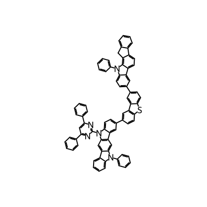 c1ccc(-c2cc(-c3ccccc3)nc(-n3c4ccc(-c5ccc6sc7ccc(-c8ccc9c(c8)c8ccc%10c(c8n9-c8ccccc8)Cc8ccccc8-%10)cc7c6c5)cc4c4cc5c(cc43)c3ccccc3n5-c3ccccc3)n2)cc1